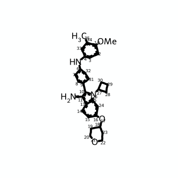 COc1ccc(Nc2ccc(-c3c(N)c4ccc(OC5CCOCC5)cc4n3C3CCC3)cc2)cc1C